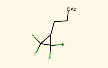 CC(=O)OCC[C]1C(F)(F)C1(F)F